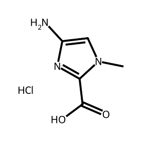 Cl.Cn1cc(N)nc1C(=O)O